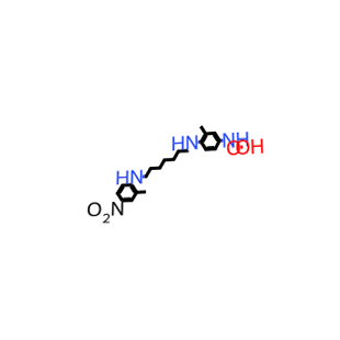 Cc1cc(NOO)ccc1NCCCCCCCNc1ccc([N+](=O)[O-])cc1C